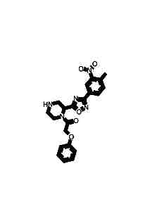 Cc1ccc(-c2noc(C3CNCCN3C(=O)COc3ccccc3)n2)cc1[N+](=O)[O-]